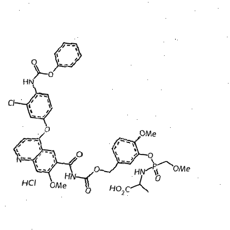 COCP(=O)(NC(C)C(=O)O)Oc1cc(COC(=O)NC(=O)c2cc3c(Oc4ccc(NC(=O)Oc5ccccc5)c(Cl)c4)ccnc3cc2OC)ccc1OC.Cl